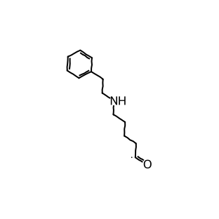 O=[C]CCCCNCCc1ccccc1